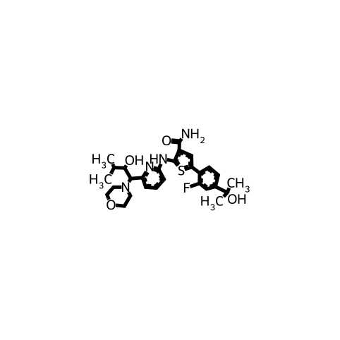 CC(C)C(O)C(c1cccc(Nc2sc(-c3ccc(C(C)(C)O)cc3F)cc2C(N)=O)n1)N1CCOCC1